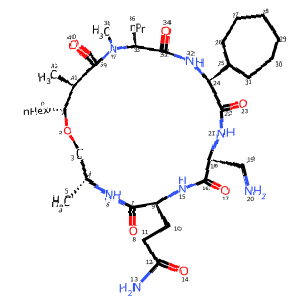 CCCCCC[C@H]1OC[C@@H](C)NC(=O)[C@H](CCC(N)=O)NC(=O)[C@H](CN)NC(=O)[C@H](C2CCCCCC2)NC(=O)[C@H](CCC)N(C)C(=O)[C@@H]1C